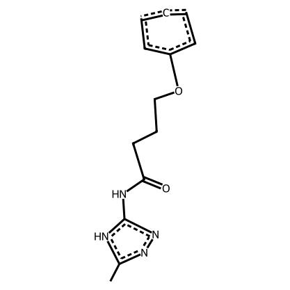 Cc1nnc(NC(=O)CCCOc2ccccc2)[nH]1